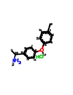 Cc1ccc(Oc2ccc(C(C)N)cc2)cc1.Cl